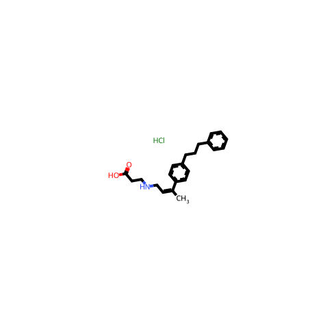 C/C(=C/CNCCC(=O)O)c1ccc(CCCc2ccccc2)cc1.Cl